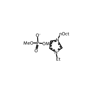 CCCCCCCCn1cc[n+](CC)c1.COP(=O)([O-])OC